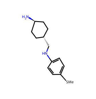 CSc1ccc(NC[C@H]2CC[C@H](N)CC2)cc1